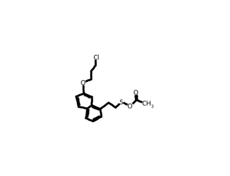 CC(=O)OSCCc1cccc2ccc(OCCCCl)cc12